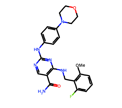 COc1cccc(F)c1CNc1nc(Nc2ccc(N3CCOCC3)cc2)ncc1C(N)=O